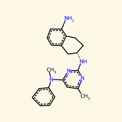 Cc1cc(N(C)c2ccccc2)nc(N[C@H]2CCc3c(N)cccc3C2)n1